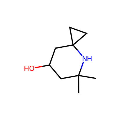 CC1(C)CC(O)CC2(CC2)N1